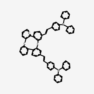 C(=C\c1ccc2c(c1)Cc1cc(/C=C/c3ccc(N(c4ccccc4)c4ccccc4)cc3)ccc1-c1ccccc1Cc1ccccc1-2)/c1ccc(N(c2ccccc2)c2ccccc2)cc1